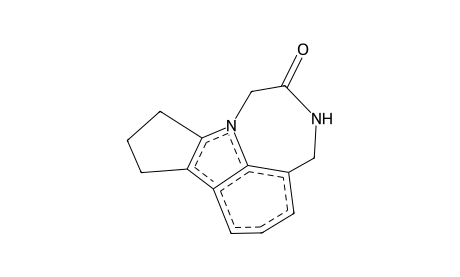 O=C1Cn2c3c(c4cccc(c42)CN1)CCC3